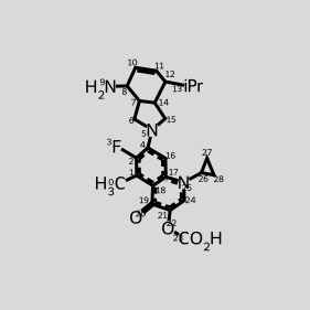 Cc1c(F)c(N2CC3C(N)C=CC(C(C)C)C3C2)cc2c1c(=O)c(OC(=O)O)cn2C1CC1